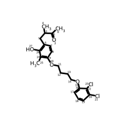 CC(=O)C(C)Cc1ccc(OCCCCOc2cccc(Cl)c2Cl)c(C)c1O